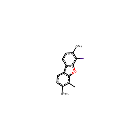 CCCCCc1ccc2c(oc3c(I)c(OC)ccc32)c1C